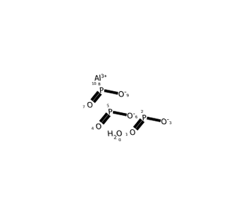 O.O=P[O-].O=P[O-].O=P[O-].[Al+3]